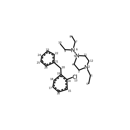 CCN1CCN(N(CC)CC)CC1.Clc1ccccc1Cc1ccccc1